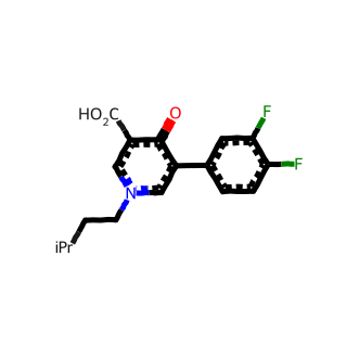 CC(C)CCn1cc(C(=O)O)c(=O)c(-c2ccc(F)c(F)c2)c1